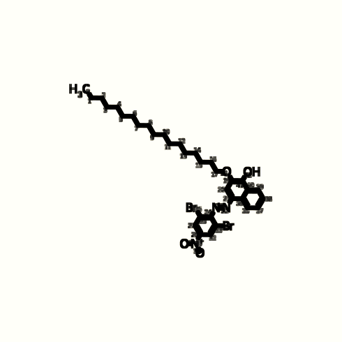 CCCCCCCCCCCCCCCCCCOc1cc(/N=N/c2c(Br)cc([N+](=O)[O-])cc2Br)c2ccccc2c1O